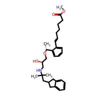 COC(=O)CCCC/C=C/c1ccccc1[C@@H](C)OC[C@H](O)CNC(C)(C)CC1Cc2ccccc2C1